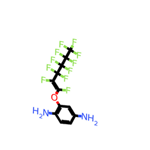 Nc1ccc(N)c(OC(F)=C(F)C(F)(F)C(F)(F)C(F)(F)C(F)(F)F)c1